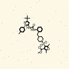 COC(=O)c1c(C)oc(C)c1S(=O)(=O)N1CCC(Cc2ccccc2NC(=O)Nc2cc(C(C)(C)C)nn2-c2ccc(C)cc2)CC1